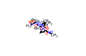 C=CCNC(=O)C(=O)C(CC1CC1)NC(=O)[C@@H]1[C@@H]2[C@H](CN1C(=O)[C@@H](NC(=O)N[C@H](CN(C)S(=O)(=O)C(C)C)C(C)(C)C)C(C)(C)C)C2(C)C